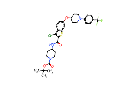 CC(C)(C)OC(=O)N1CCC(NC(=O)c2sc3cc(OC4CCN(c5ccc(C(F)(F)F)cc5)CC4)ccc3c2Cl)CC1